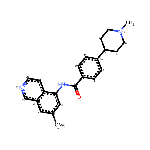 COc1cc(NC(=O)c2ccc(C3CCN(C)CC3)cc2)c2ccncc2c1